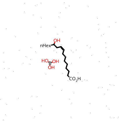 CCCCCCC(O)C/C=C\CCCCCCCC(=O)O.OB(O)O